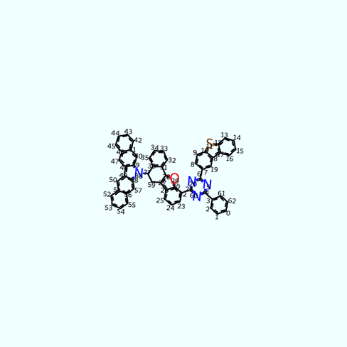 c1ccc(-c2nc(-c3ccc4sc5ccccc5c4c3)nc(-c3cccc4c5c(oc34)-c3ccccc3C(n3c4cc6ccccc6cc4c4cc6ccccc6cc43)C5)n2)cc1